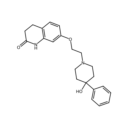 O=C1CCc2ccc(OCCN3CCC(O)(c4ccccc4)CC3)cc2N1